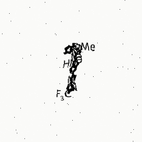 COC(C)c1ccc(C)cc1N1C(=O)CS/C1=N\C(=O)Nc1ccc(-c2ccn(-c3ccc(C(F)(F)F)cn3)n2)cc1F